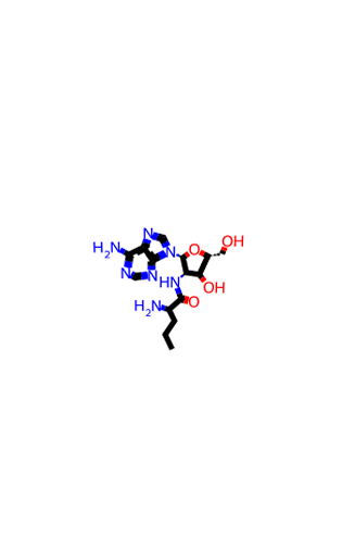 CCCC(N)C(=O)N[C@H]1C(O)[C@@H](CO)O[C@H]1n1cnc2c(N)ncnc21